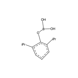 CC(C)c1cccc(C(C)C)c1OB(O)O